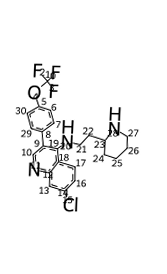 FC(F)(F)Oc1ccc(-c2cnc3cc(Cl)ccc3c2NCCC2CCCCN2)cc1